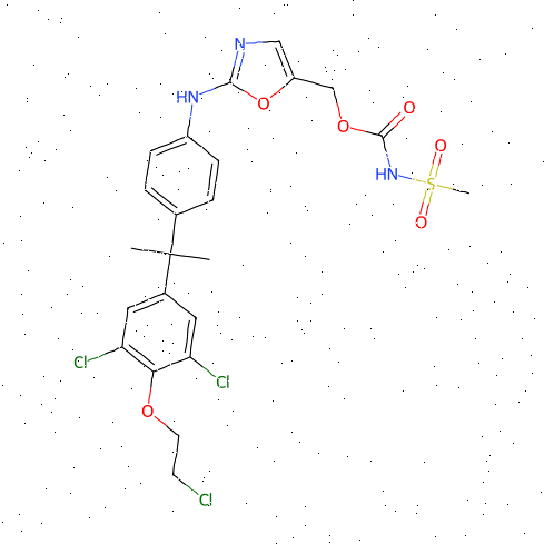 CC(C)(c1ccc(Nc2ncc(COC(=O)NS(C)(=O)=O)o2)cc1)c1cc(Cl)c(OCCCl)c(Cl)c1